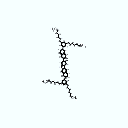 CCCCCCCc1cc(CCCCCCC)cc(-c2ccc3cc4c(cc3c2)oc2cc3c(cc24)oc2cc4cc(-c5cc(CCCCCCC)cc(CCCCCCC)c5)ccc4cc23)c1